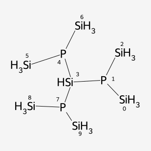 [SiH3]P([SiH3])[SiH](P([SiH3])[SiH3])P([SiH3])[SiH3]